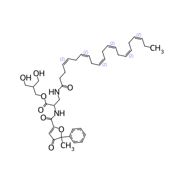 CC/C=C\C/C=C\C/C=C\C/C=C\C/C=C\C/C=C\CCC(=O)NCC(NC(=O)C1=CC(=O)C(C)(c2ccccc2)O1)C(=O)OCC(CO)CO